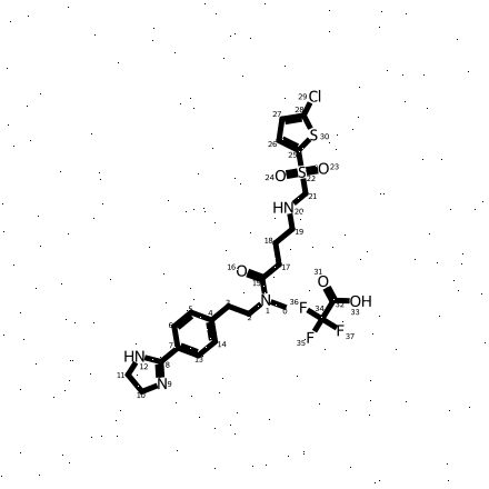 CN(CCc1ccc(C2=NCCN2)cc1)C(=O)CCCNCS(=O)(=O)c1ccc(Cl)s1.O=C(O)C(F)(F)F